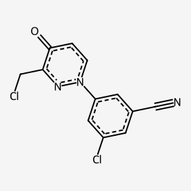 N#Cc1cc(Cl)cc(-n2ccc(=O)c(CCl)n2)c1